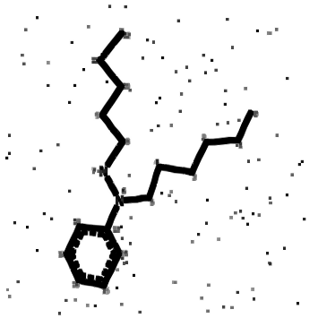 CCCCCCN([N]CCCCC)c1ccccc1